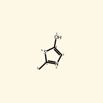 Cc1ncc(O)s1